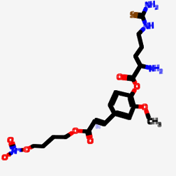 COc1cc(/C=C/C(=O)OCCCCO[N+](=O)[O-])ccc1OC(=O)C(N)CCCNC(N)=S